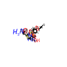 CC#CCOc1ccc(S(=O)(=O)N2CC(CC(N)=O)SC(C)(C)C2C(=O)NO)cc1